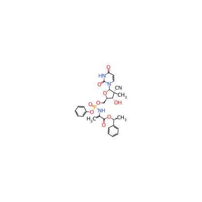 C=C(NP(=O)(OC[C@H]1O[C@@H](n2ccc(=O)[nH]c2=O)[C@](C)(C#N)[C@@H]1O)Oc1ccccc1)C(=O)O[C@@H](C)c1ccccc1